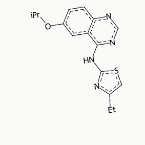 CCc1csc(Nc2ncnc3ccc(OC(C)C)cc23)n1